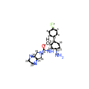 Cc1c(-c2ccc(F)cc2)ccc(N)c1NC(=O)N1Cc2nccnc2C1